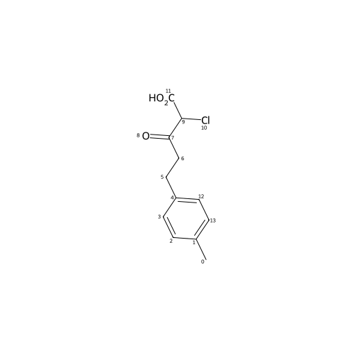 Cc1ccc(CCC(=O)C(Cl)C(=O)O)cc1